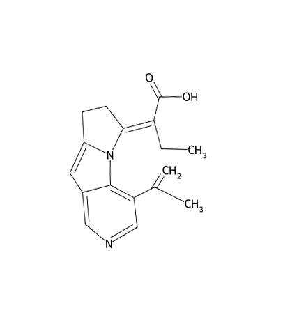 C=C(C)c1cncc2cc3n(c12)C(=C(CC)C(=O)O)CC3